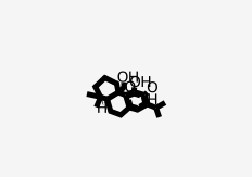 CC(C)c1cc2c(c(O)c1O)C1(C(=O)O)CCCC(C)(C)[C@@H]1CC2